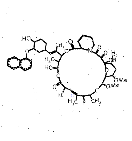 CCC1/C=C(\C)C(F)C(C)CC(OC)C2OC(O)(C(=O)C(=O)N3CCCCC3C(=O)OC(C(C)=CC3CCC(O)C(Oc4cccc5ccccc45)C3)C(C)C(O)CC1=O)C(C)CC2OC